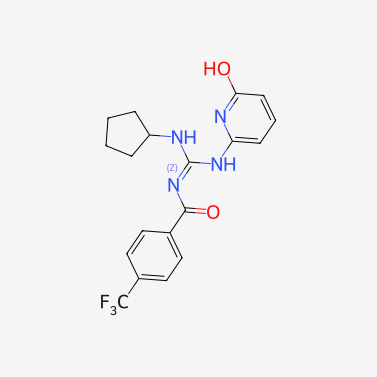 O=C(/N=C(\Nc1cccc(O)n1)NC1CCCC1)c1ccc(C(F)(F)F)cc1